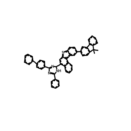 CC1(C)c2ccccc2-c2cc(-c3ccc4sc5cc(C6N=C(c7ccc(-c8ccccc8)cc7)N=C(c7ccccc7)N6)c6ccccc6c5c4c3)ccc21